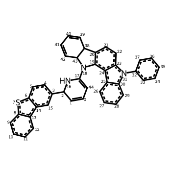 C1=CC(c2ccc3sc4ccccc4c3c2)NC(N2c3c(ccc4c3c3ccccc3n4-c3ccccc3)C3C=CC=CC32)=C1